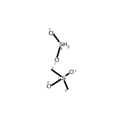 C[Si](C)(Cl)Cl.Cl[SiH2]Cl